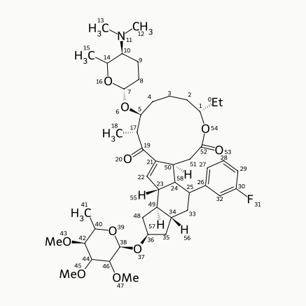 CC[C@H]1CCC[C@H](O[C@H]2CC[C@H](N(C)C)C(C)O2)[C@@H](C)C(=O)C2=C[C@@H]3C(C(c4cccc(F)c4)C[C@@H]4C[C@@H](O[C@@H]5OC(C)[C@H](OC)C(OC)C5OC)C[C@H]43)[C@@H]2CC(=O)O1